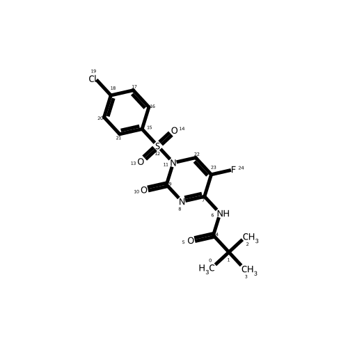 CC(C)(C)C(=O)Nc1nc(=O)n(S(=O)(=O)c2ccc(Cl)cc2)cc1F